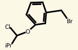 CC(C)C(Cl)Oc1cccc(CBr)c1